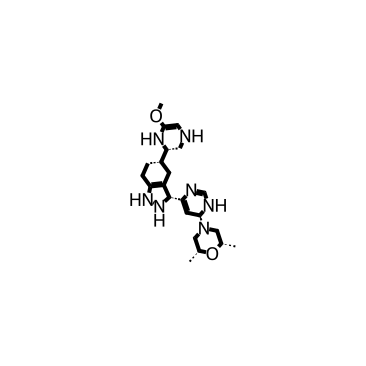 COC1=CNC[C@H]([C@H]2CCC3=C(C2)[C@H](C2=C[C@@H](N4C[C@@H](C)O[C@@H](C)C4)NC=N2)NN3)N1